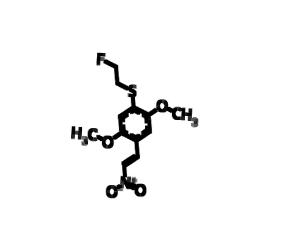 COc1cc(SCCF)c(OC)cc1C=C[N+](=O)[O-]